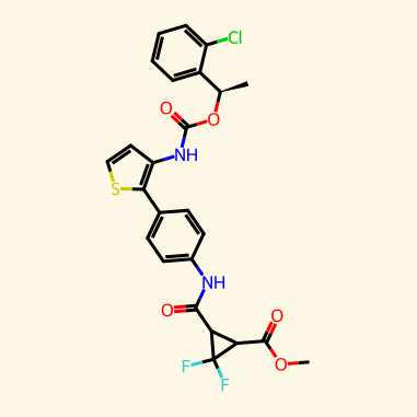 COC(=O)C1C(C(=O)Nc2ccc(-c3sccc3NC(=O)O[C@H](C)c3ccccc3Cl)cc2)C1(F)F